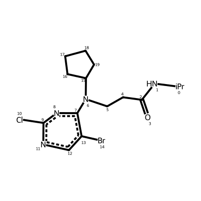 CC(C)NC(=O)CCN(c1nc(Cl)ncc1Br)C1CCCC1